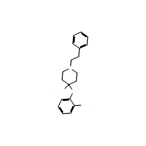 CCOC(=O)c1ccccc1NC1(C(=O)OCC)CCN(CCc2ccccc2)CC1